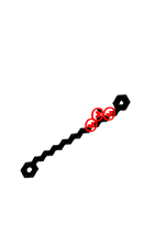 COC(COCCCCCCCCCCCCC1CCCCC1)COCc1ccccc1